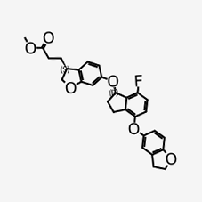 COC(=O)CC[C@@H]1COc2cc(O[C@@H]3CCc4c(Oc5ccc6c(c5)CCO6)ccc(F)c43)ccc21